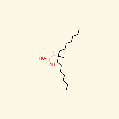 CCCCCCCC(C)(BB(O)O)CCCCCCC